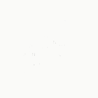 C[C@@H](C=C[C@H](Cc1ccccc1)C(=O)N1C(=O)OCC1Cc1ccccc1)C(=O)N1C(=O)OCC1Cc1ccccc1